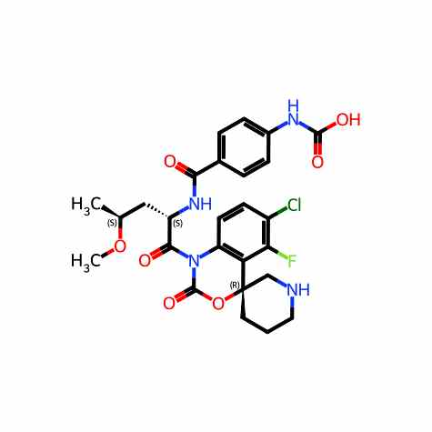 CO[C@@H](C)C[C@H](NC(=O)c1ccc(NC(=O)O)cc1)C(=O)N1C(=O)O[C@]2(CCCNC2)c2c1ccc(Cl)c2F